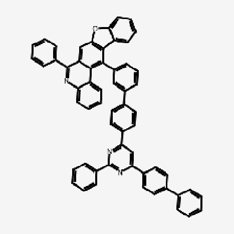 c1ccc(-c2ccc(-c3cc(-c4ccc(-c5cccc(-c6c7c(cc8c(-c9ccccc9)nc9ccccc9c68)oc6ccccc67)c5)cc4)nc(-c4ccccc4)n3)cc2)cc1